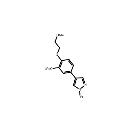 COCCOc1ccc(-c2cnn(C(C)C)c2)cc1OC